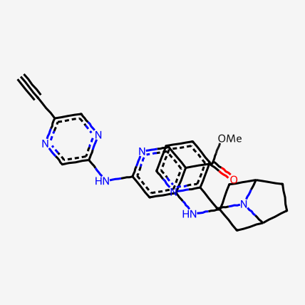 C#Cc1cnc(Nc2cc(NC3CC4CCC(C3)N4Cc3ccccn3)c(C(=O)OC)cn2)cn1